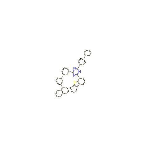 c1ccc(-c2ccc(-c3nc(-c4cccc(-c5cccc(-c6cccc7ccccc67)c5)c4)nc(-c4cccc5c4sc4ccccc45)n3)cc2)cc1